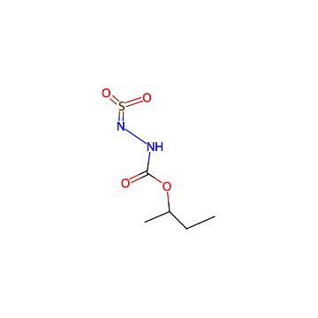 CCC(C)OC(=O)NN=S(=O)=O